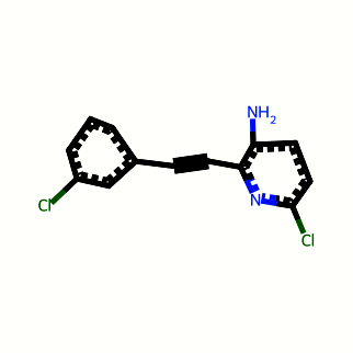 Nc1ccc(Cl)nc1C#Cc1cccc(Cl)c1